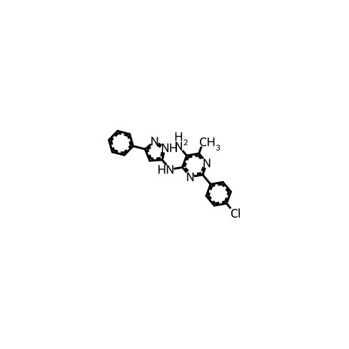 Cc1nc(-c2ccc(Cl)cc2)nc(Nc2cc(-c3ccccc3)n[nH]2)c1N